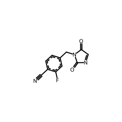 N#Cc1ccc(CN2C(=O)C=NC2=O)cc1F